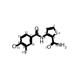 NC(=O)c1sccc1NC(=O)c1ccc(Cl)c(F)c1